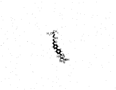 CN(C)CCNCC(=O)Cc1ccc(-c2ccc(C(=O)N[C@@H](CN)C(=O)NO)cc2)cc1